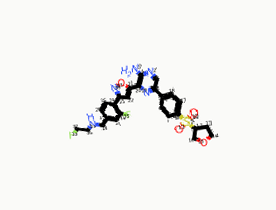 Nc1ncc(-c2ccc(S(=O)(=O)C3CCOC3)cc2)nc1-c1cc(-c2ccc(CNCCF)cc2F)no1